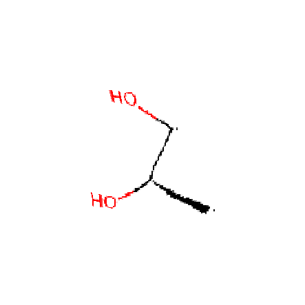 [CH2][C@@H](O)[CH]O